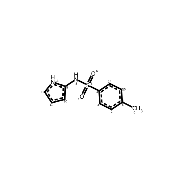 Cc1ccc(S(=O)(=O)Nc2ccc[nH]2)cc1